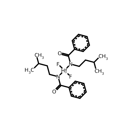 CC(C)CC[N](C(=O)c1ccccc1)[Hf]([F])([F])[N](CCC(C)C)C(=O)c1ccccc1